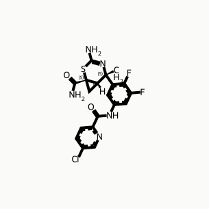 C[C@]1(c2cc(NC(=O)c3ccc(Cl)cn3)cc(F)c2F)N=C(N)S[C@@]2(C(N)=O)C[C@H]21